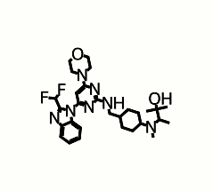 CC(N(C)C1CCC(CNc2nc(N3CCOCC3)cc(-n3c(C(F)F)nc4ccccc43)n2)CC1)C(C)(C)O